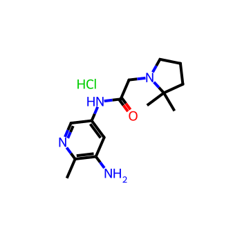 Cc1ncc(NC(=O)CN2CCCC2(C)C)cc1N.Cl